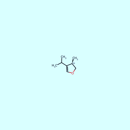 CC(C)C1=COC[C@@H]1C